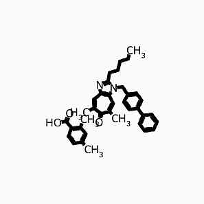 CCCCCc1nc2cc(C)c(=O)c(C)cc2n1Cc1ccc(-c2ccccc2)cc1.Cc1ccc(C(=O)O)c(C)c1